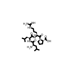 CC(C)C[C@H](NC(=O)[C@@H](N)CC(C)C)C(=O)N[C@@H](CCCNC(=N)N)C(=O)N1CCC[C@H]1C(=O)O